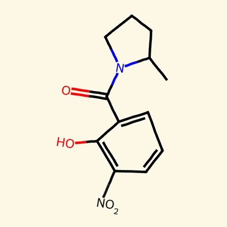 CC1CCCN1C(=O)c1cccc([N+](=O)[O-])c1O